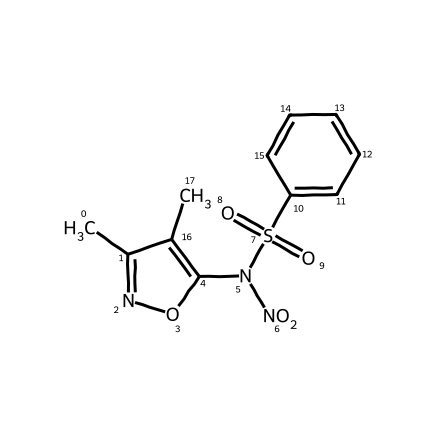 Cc1noc(N([N+](=O)[O-])S(=O)(=O)c2ccccc2)c1C